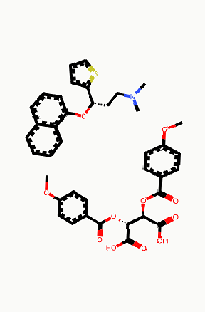 CN(C)CC[C@H](Oc1cccc2ccccc12)c1cccs1.COc1ccc(C(=O)O[C@@H](C(=O)O)[C@@H](OC(=O)c2ccc(OC)cc2)C(=O)O)cc1